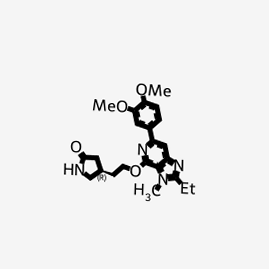 CCc1nc2cc(-c3ccc(OC)c(OC)c3)nc(OCC[C@H]3CNC(=O)C3)c2n1C